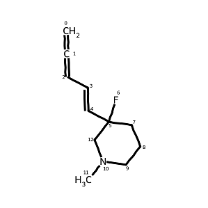 C=C=C/C=C/C1(F)CCCN(C)C1